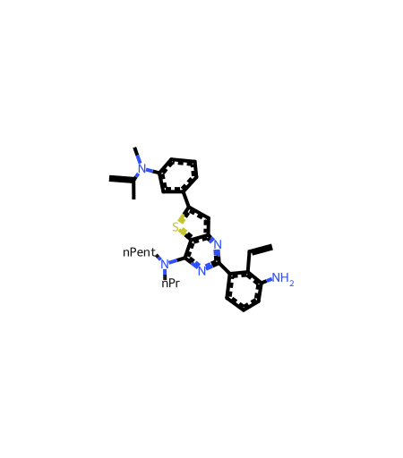 C=Cc1c(N)cccc1-c1nc(N(CCC)CCCCC)c2sc(-c3cccc(N(C)C(=C)C)c3)cc2n1